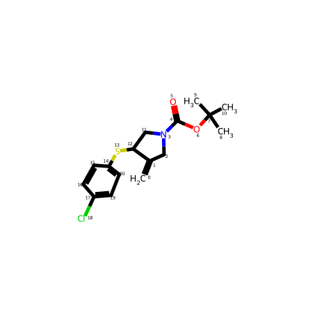 C=C1CN(C(=O)OC(C)(C)C)CC1Sc1ccc(Cl)cc1